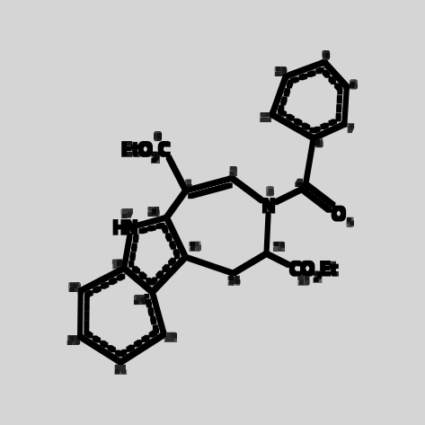 CCOC(=O)C1=CN(C(=O)c2ccccc2)C(C(=O)OCC)Cc2c1[nH]c1ccccc21